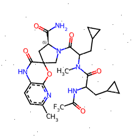 Cc1ccc2c(n1)OC1(C[C@@H](C(N)=O)N(C(=O)C(CC3CC3)N(C)C(=O)C(CC3CC3)NC(=O)C(F)(F)F)C1)C(=O)N2